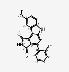 COc1ccc2[nH]c3cc(-c4ccccc4I)c4c(c3c2c1)C(=O)NC4=O